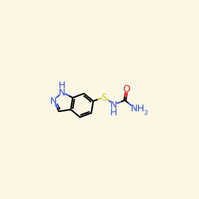 NC(=O)NSc1ccc2cn[nH]c2c1